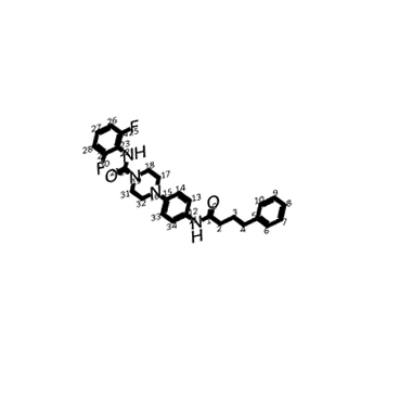 O=C(CCCc1ccccc1)Nc1ccc(N2CCN(C(=O)Nc3c(F)cccc3F)CC2)cc1